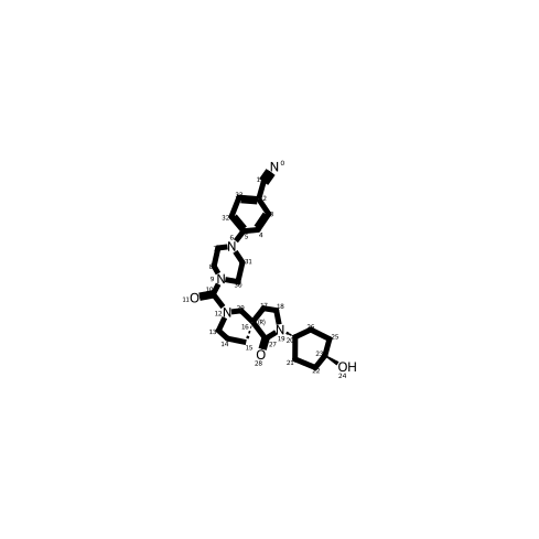 N#Cc1ccc(N2CCN(C(=O)N3CCC[C@@]4(CCN([C@H]5CC[C@H](O)CC5)C4=O)C3)CC2)cc1